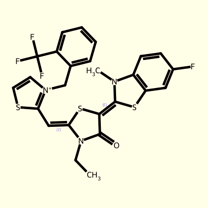 CCn1c(=O)/c(=C2\Sc3cc(F)ccc3N2C)s/c1=C\c1scc[n+]1Cc1ccccc1C(F)(F)F